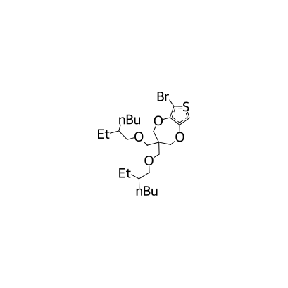 CCCCC(CC)COCC1(COCC(CC)CCCC)COc2csc(Br)c2OC1